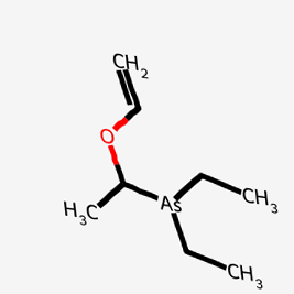 C=COC(C)[As](CC)CC